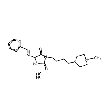 CN1CCN(CCCCN2C(=O)NC(N=Cc3ccccc3)C2=O)CC1.Cl.Cl